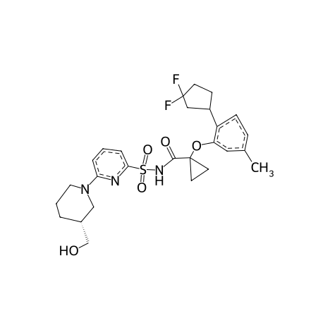 Cc1ccc(C2CCC(F)(F)C2)c(OC2(C(=O)NS(=O)(=O)c3cccc(N4CCC[C@@H](CO)C4)n3)CC2)c1